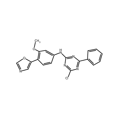 COc1cc(Nc2nc(Cl)nc(-c3ccccc3)n2)ccc1-c1cnco1